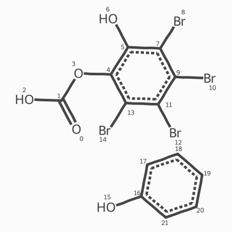 O=C(O)Oc1c(O)c(Br)c(Br)c(Br)c1Br.Oc1ccccc1